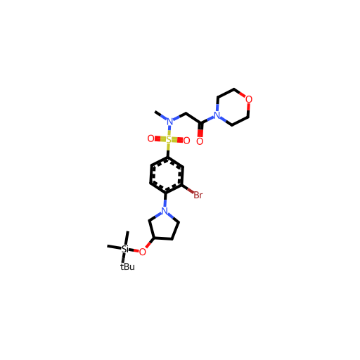 CN(CC(=O)N1CCOCC1)S(=O)(=O)c1ccc(N2CCC(O[Si](C)(C)C(C)(C)C)C2)c(Br)c1